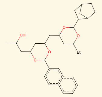 CCC1CC(CC2CC(CC(C)O)OC(c3ccc4ccccc4c3)O2)OC(C2CC3CCC2C3)O1